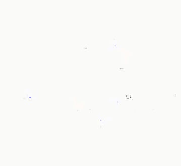 Cn1cncc1-c1c(C(O)c2ccc(Cl)nc2)ccc2noc(-c3cccc(Cl)c3)c12